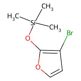 C[Si](C)(C)Oc1occc1Br